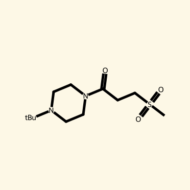 CC(C)(C)N1CCN(C(=O)CCS(C)(=O)=O)CC1